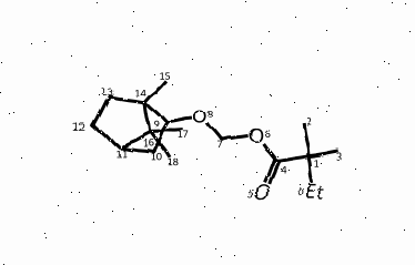 CCC(C)(C)C(=O)OCOC1CC2CCC1(C)C2(C)C